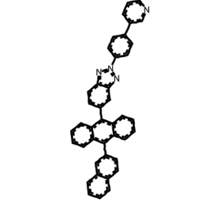 c1cncc(-c2ccc(-n3nc4ccc(-c5c6ccccc6c(-c6ccc7ccccc7c6)c6ccccc56)cc4n3)cc2)c1